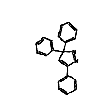 C1=C(c2ccccc2)N=NC1(c1ccccc1)c1ccccc1